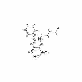 CCCCCn1cc(C(=O)O)c(=S)cc1-c1ccccc1